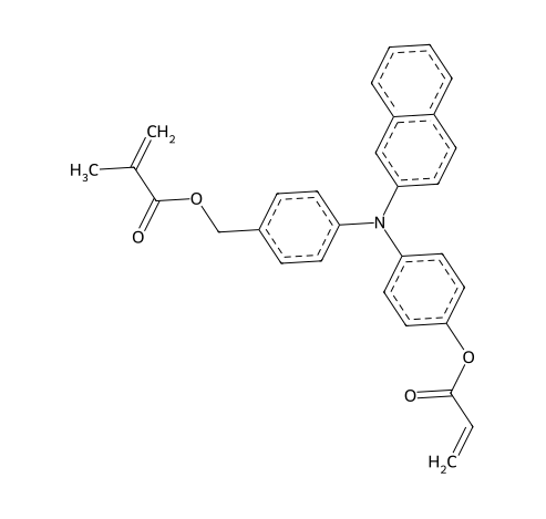 C=CC(=O)Oc1ccc(N(c2ccc(COC(=O)C(=C)C)cc2)c2ccc3ccccc3c2)cc1